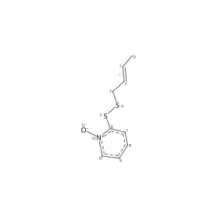 C/C=C/CSSc1cccc[n+]1[O-]